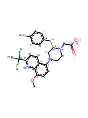 COc1ccc(N2CCN(CC(=O)O)[C@@H](Cc3ccc(F)cc3)C2)c2ccc(C(F)(F)F)nc12